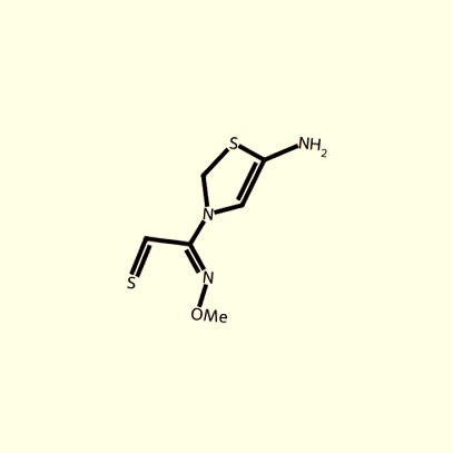 CON=C(C=S)N1C=C(N)SC1